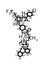 CC(C)(CNC(=O)C(=O)NCc1ccccc1-c1ccccc1)CNC(=O)c1ccc(Nc2nc(NC3(c4ccc(Cl)cc4)CC3)nc(OCC(F)(F)F)n2)cc1